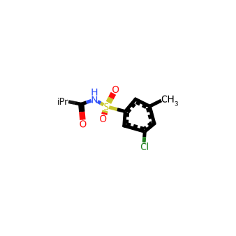 Cc1cc(Cl)cc(S(=O)(=O)NC(=O)C(C)C)c1